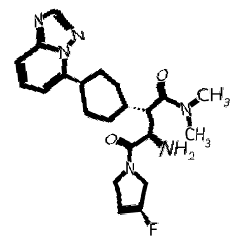 CN(C)C(=O)C(C(N)C(=O)N1CC[C@H](F)C1)[C@H]1CC[C@H](c2cccc3ncnn32)CC1